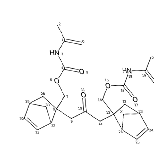 C=C(C)NC(=O)OCC1(CC(=O)CC2(COC(=O)NC(=C)C)CC3C=CC2C3)CC2C=CC1C2